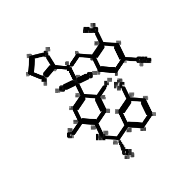 COc1ccc(CN(c2nccs2)S(=O)(=O)c2cc(Cl)c(N[C@@H](C)c3cccc(C(F)(F)F)c3)cc2F)c(OC)c1